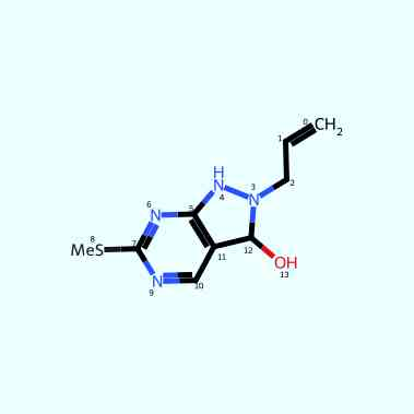 C=CCN1Nc2nc(SC)ncc2C1O